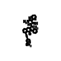 CC(NC(=N)c1c(N)nn2cccnc12)c1cc2cccc(C#Cc3cnn(C)c3)c2c(=O)n1-c1ccccc1